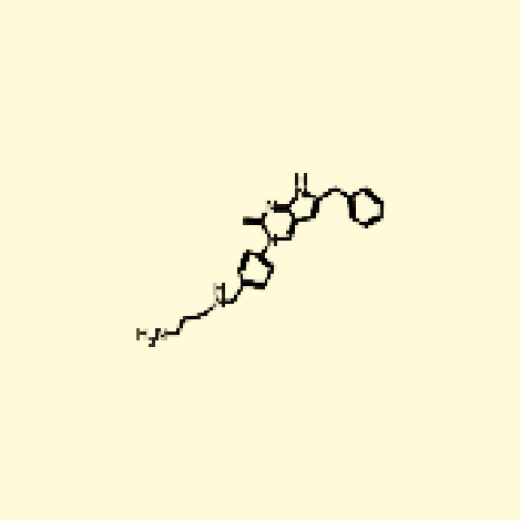 C=C1N=c2[nH]c(Cc3ccccc3)cc2=CN1c1ccc(CNCCCN)cc1